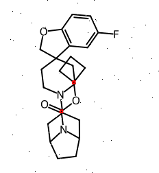 O=C(OC1CCC1)N1C2CCC1CC(N1CCC3(CC1)COc1ccc(F)cc13)C2